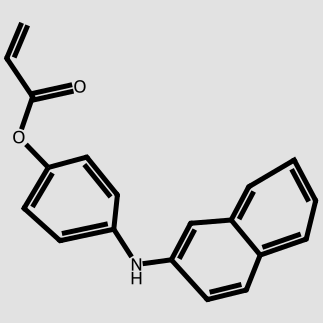 C=CC(=O)Oc1ccc(Nc2ccc3ccccc3c2)cc1